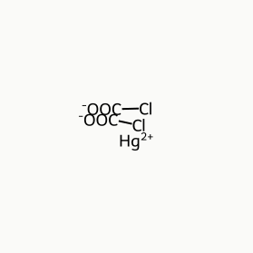 O=C([O-])Cl.O=C([O-])Cl.[Hg+2]